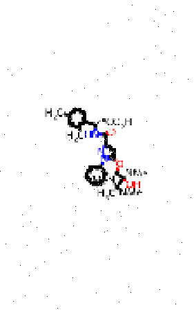 CNC(C)(NC)[C@](O)(COc1cc(C(=O)N[C@@H](CC(=O)O)c2ccc(C)cc2C)nn1-c1ccccc1)NC